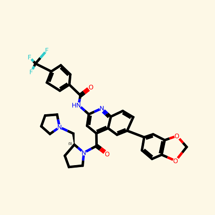 O=C(Nc1cc(C(=O)N2CCC[C@H]2CN2CCCC2)c2cc(-c3ccc4c(c3)OCO4)ccc2n1)c1ccc(C(F)(F)F)cc1